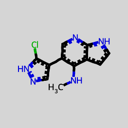 CNc1c(-c2cn[nH]c2Cl)cnc2[nH]ccc12